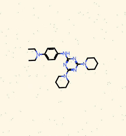 CCN(CC)c1ccc(Nc2nc(N3CCCCC3)nc(N3CCCCC3)n2)cc1